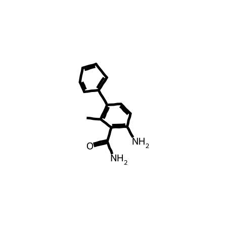 Cc1c(-c2ccccc2)ccc(N)c1C(N)=O